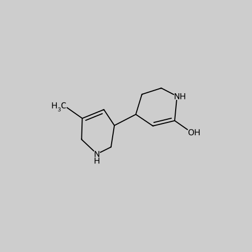 CC1=CC(C2C=C(O)NCC2)CNC1